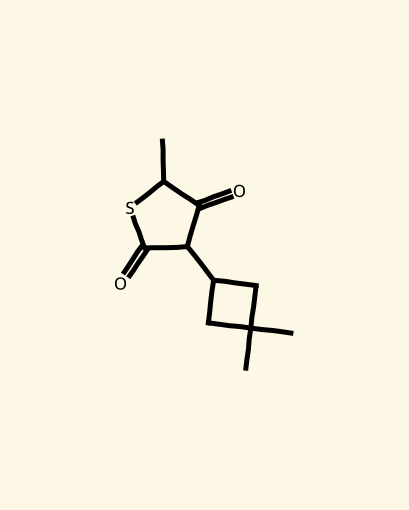 CC1SC(=O)C(C2CC(C)(C)C2)C1=O